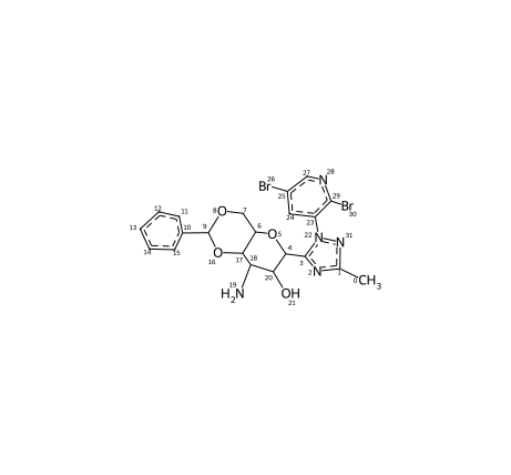 Cc1nc(C2OC3COC(c4ccccc4)OC3C(N)C2O)n(-c2cc(Br)cnc2Br)n1